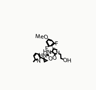 COc1cc(F)c([C@@H]2CN(CCO)C(=O)[C@H]2NC(=O)NC2(c3cccc(C)n3)CC2)c(F)c1